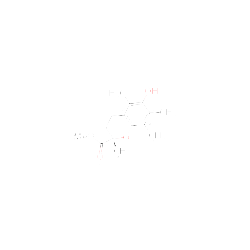 COC(=O)[C@]1(C)CCc2c(C)c(O)c(C)c(C)c2O1